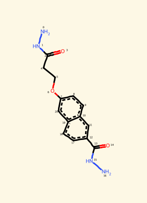 NNC(=O)CCOc1ccc2cc(C(=O)NN)ccc2c1